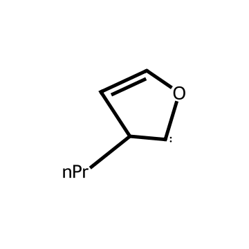 CCCC1[C]OC=C1